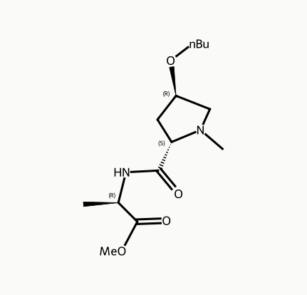 CCCCO[C@@H]1C[C@@H](C(=O)N[C@H](C)C(=O)OC)N(C)C1